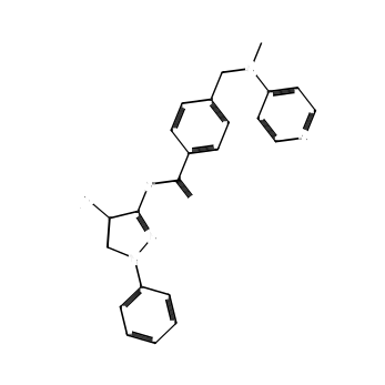 CN(Cc1ccc(C(=O)NC2=NN(c3ccccc3)CC2N)cc1)c1ccncc1